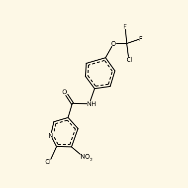 O=C(Nc1ccc(OC(F)(F)Cl)cc1)c1cnc(Cl)c([N+](=O)[O-])c1